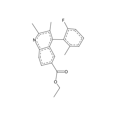 CCOC(=O)c1ccc2nc(C)c(C)c(-c3c(C)cccc3F)c2c1